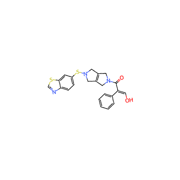 O=C(/C(=C/O)c1ccccc1)N1CC2=C(CN(Sc3ccc4ncsc4c3)C2)C1